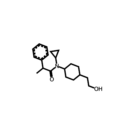 CC(C(=O)N(C1CCC(CCO)CC1)C1CC1)c1ccccc1